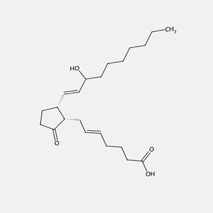 CCCCCCCC(O)/C=C/[C@H]1CCC(=O)[C@H]1CC=CCCCC(=O)O